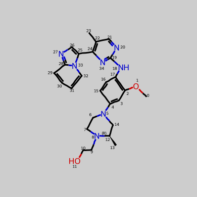 COc1cc(N2CCN(CCO)[C@H](C)C2)ccc1Nc1ncc(C)c(-c2cnc3ccccn23)n1